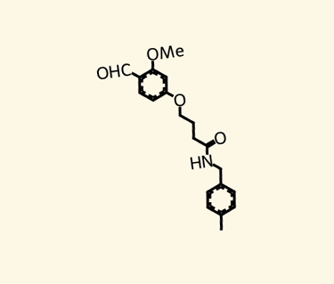 COc1cc(OCCCC(=O)NCc2ccc(C)cc2)ccc1C=O